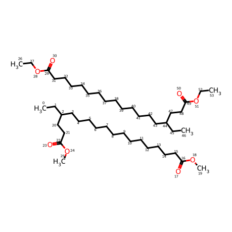 CCC(CCCCCCCCCCCCCC(=O)OC)CCC(=O)OC.CCOC(=O)CCCCCCCCCCCCCC(CC)CCC(=O)OCC